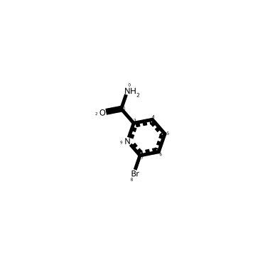 NC(=O)c1cccc(Br)n1